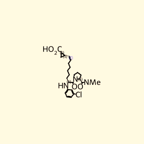 CNC(=O)[C@@H]1CCCN1C(=O)[C@H](CCCCC/C=C\[C@@H]1C[C@@H]1C(=O)O)Nc1cccc(Cl)c1